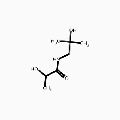 CC(O)C(=O)NCC(C)(C)O